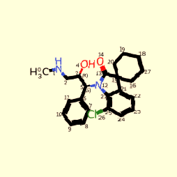 CNC[C@@H](O)[C@H](c1ccccc1)N1C(=O)C2(CCCCC2)c2cccc(Cl)c21